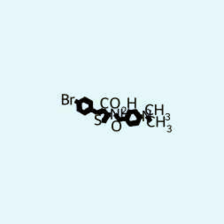 CN(C)c1ccc(C(=O)Nc2csc(-c3ccc(Br)cc3)c2C(=O)O)cc1